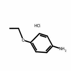 CCOc1ccc(N)cc1.Cl